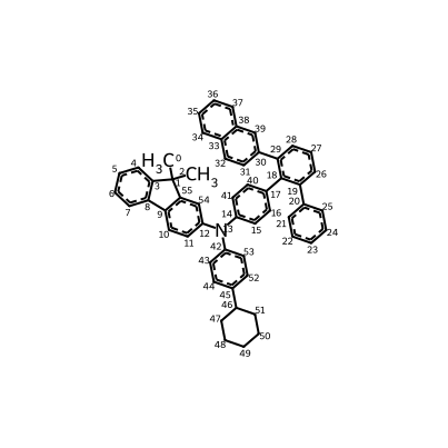 CC1(C)c2ccccc2-c2ccc(N(c3ccc(-c4c(-c5ccccc5)cccc4-c4ccc5ccccc5c4)cc3)c3ccc(C4CCCCC4)cc3)cc21